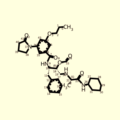 CCCOc1cc(C(=O)N[C@@H](Cc2ccccc2)[C@@H](CN[C@@H](C)C(=O)NC2CCCCC2)OC=O)cc(N2CCCC2=O)c1